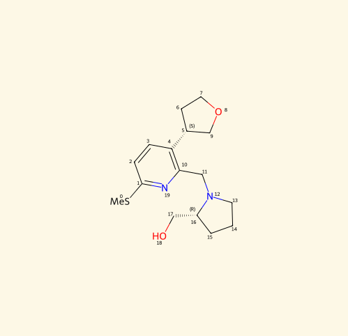 CSc1ccc([C@@H]2CCOC2)c(CN2CCC[C@@H]2CO)n1